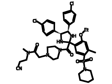 CCOc1cc(C)c(S(=O)(=O)N2CCCCC2)cc1C1(C(=O)N2CCN(CC(=O)N(C)CCC#N)CC2)N[C@H](c2ccc(Cl)cc2)[C@H](c2ccc(Cl)cc2)N1